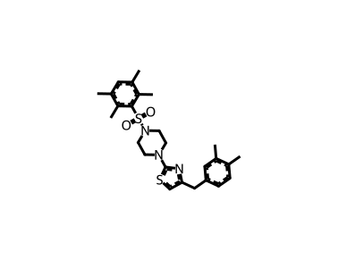 Cc1ccc(Cc2csc(N3CCN(S(=O)(=O)c4c(C)c(C)cc(C)c4C)CC3)n2)cc1C